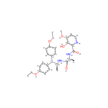 CCOc1ccc(C(c2ccc(OCC)cc2)[C@H](C)NC(=O)[C@H](C)NC(=O)c2nccc(OC)c2O)cc1